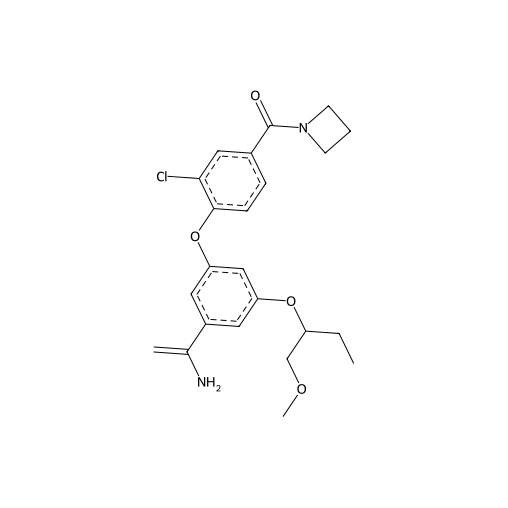 C=C(N)c1cc(Oc2ccc(C(=O)N3CCC3)cc2Cl)cc(OC(CC)COC)c1